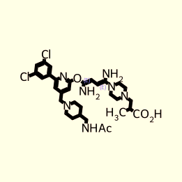 CC(=O)NCC1CCN(Cc2cc(O/C(N)=C/C=C(\N)N3CCN(CC(C)C(=O)O)CC3)nc(-c3cc(Cl)cc(Cl)c3)c2)CC1